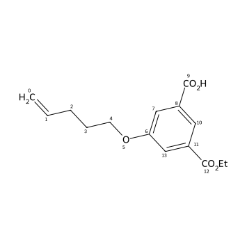 C=CCCCOc1cc(C(=O)O)cc(C(=O)OCC)c1